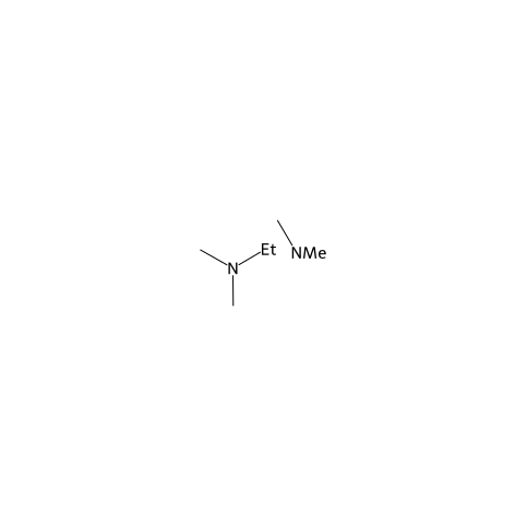 CCN(C)C.CNC